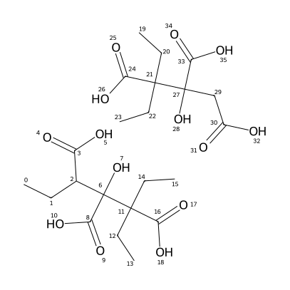 CCC(C(=O)O)C(O)(C(=O)O)C(CC)(CC)C(=O)O.CCC(CC)(C(=O)O)C(O)(CC(=O)O)C(=O)O